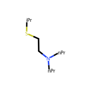 CCCN(CCC)CCSC(C)C